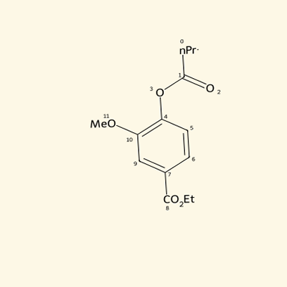 CC[CH]C(=O)Oc1ccc(C(=O)OCC)cc1OC